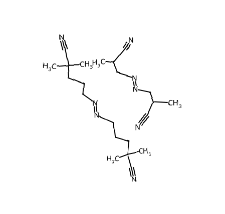 CC(C#N)CN=NCC(C)C#N.CC(C)(C#N)CCCN=NCCCC(C)(C)C#N